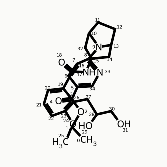 CCOC(=O)c1ccc(N2C3CCC2CC(NC(=O)c2cccc(OC)c2CC(O)CO)C3)nc1